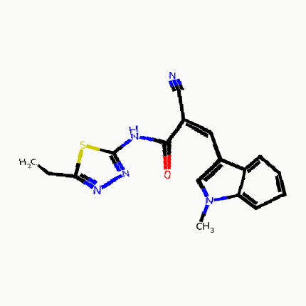 CCc1nnc(NC(=O)C(C#N)=Cc2cn(C)c3ccccc23)s1